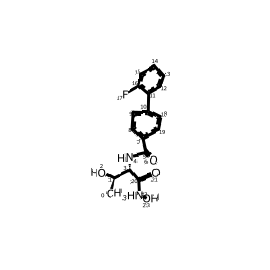 C[C@@H](O)[C@H](NC(=O)c1ccc(-c2ccccc2F)cc1)C(=O)NO